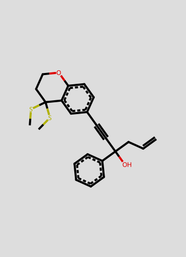 C=CCC(O)(C#Cc1ccc2c(c1)C(SC)(SC)CCO2)c1ccccc1